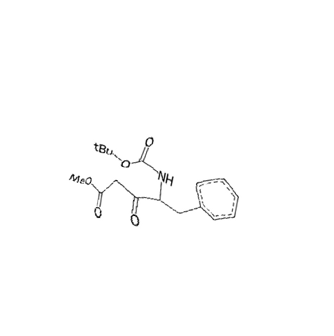 COC(=O)CC(=O)C(Cc1ccccc1)NC(=O)OC(C)(C)C